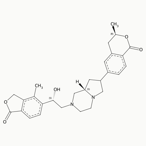 Cc1c([C@H](O)CN2CCN3CC(c4ccc5c(c4)C[C@@H](C)OC5=O)C[C@H]3C2)ccc2c1COC2=O